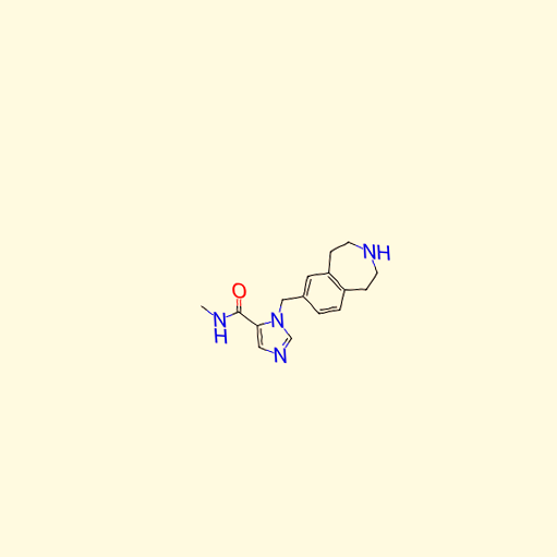 CNC(=O)c1cncn1Cc1ccc2c(c1)CCNCC2